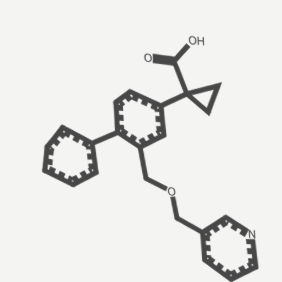 O=C(O)C1(c2ccc(-c3ccccc3)c(COCc3cccnc3)c2)CC1